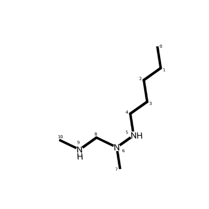 CCCCCNN(C)CNC